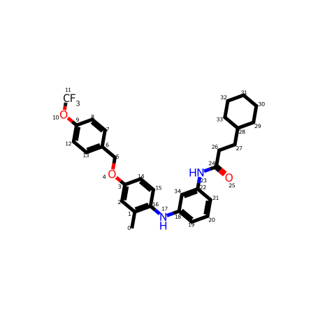 Cc1cc(OCc2ccc(OC(F)(F)F)cc2)ccc1Nc1cccc(NC(=O)CCC2CCCCC2)c1